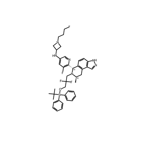 C[C@@H]1Cc2c(ccc3[nH]ncc23)[C@@H](c2ncc(NC3CN(CCCF)C3)cc2F)N1CC(F)(F)CO[Si](c1ccccc1)(c1ccccc1)C(C)(C)C